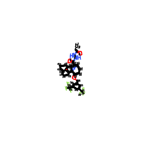 CC(=O)NNC(=O)C1CC2(c3ccccc3)C(OCc3cc(C(F)(F)F)cc(C(F)(F)F)c3)CCC1N2Cc1ccccc1